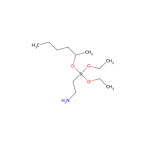 CCCCC(C)O[Si](CCN)(OCC)OCC